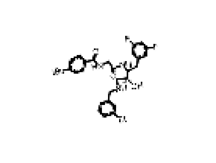 CCc1cccc(CNC[C@H](O)C(Cc2cc(F)cc(F)c2)NC(=O)CNC(=O)c2ccc(C(C)(C)C)cc2)c1